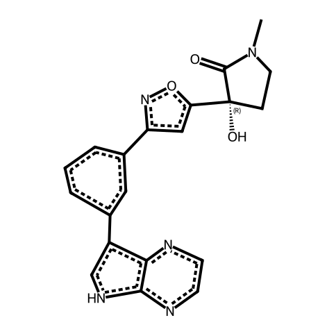 CN1CC[C@@](O)(c2cc(-c3cccc(-c4c[nH]c5nccnc45)c3)no2)C1=O